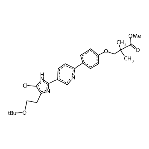 COC(=O)C(C)(C)COc1ccc(-c2ccc(-c3nc(CCOC(C)(C)C)c(Cl)[nH]3)cn2)cc1